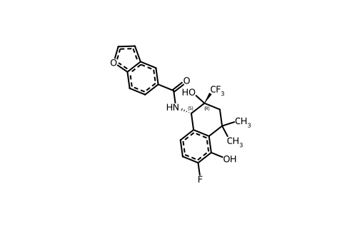 CC1(C)C[C@](O)(C(F)(F)F)[C@@H](NC(=O)c2ccc3occc3c2)c2ccc(F)c(O)c21